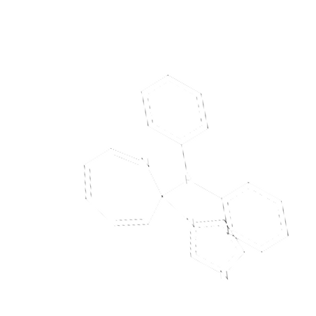 C1=CC=NC(n2ccnc2)(P(c2ccccc2)c2ccccc2)C=C1